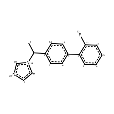 CC(c1ccc(-c2ccccc2F)cc1)n1ccnc1